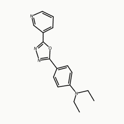 CCN(CC)c1ccc(-c2nnc(-c3cccnc3)o2)cc1